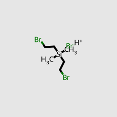 C[Si](C)(CCBr)CCBr.[Br-].[H+]